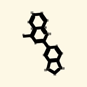 Cc1cc(-c2ccc3c(c2)OCO3)nc2ccncc12